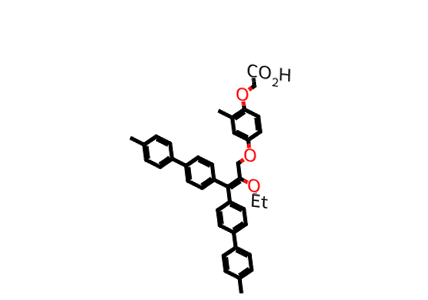 CCOC(COc1ccc(OCC(=O)O)c(C)c1)=C(c1ccc(-c2ccc(C)cc2)cc1)c1ccc(-c2ccc(C)cc2)cc1